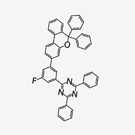 Fc1cc(-c2ccc3c(c2)OC(c2ccccc2)(c2ccccc2)c2ccccc2-3)cc(-c2nc(-c3ccccc3)nc(-c3ccccc3)n2)c1